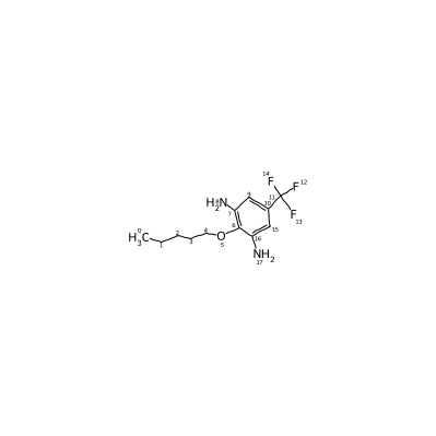 CCCCCOc1c(N)cc(C(F)(F)F)cc1N